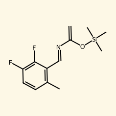 C=C(/N=C/c1c(C)ccc(F)c1F)O[Si](C)(C)C